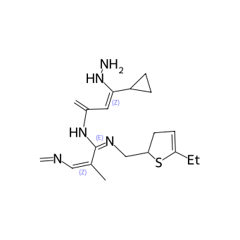 C=N/C=C(C)\C(=N/CC1CC=C(CC)S1)NC(=C)/C=C(\NN)C1CC1